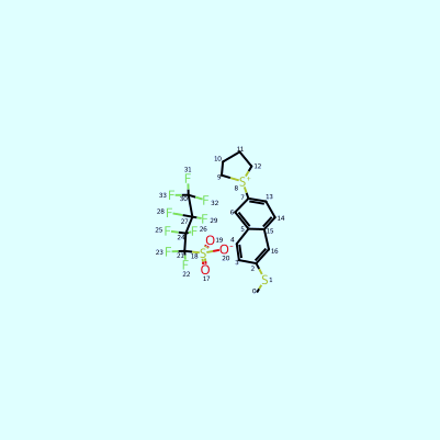 CSc1ccc2cc([S+]3CCCC3)ccc2c1.O=S(=O)([O-])C(F)(F)C(F)(F)C(F)(F)C(F)(F)F